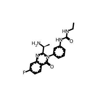 CCNC(=O)Nc1cccc(-n2c([C@H](C)N)nc3cc(F)ccc3c2=O)c1